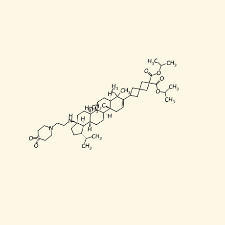 CC(C)OC(=O)C1(C(=O)OC(C)C)CC2(CC(C3=CC[C@]4(C)[C@H]5CC[C@@H]6[C@H]7[C@H](C(C)C)CC[C@]7(NCCN7CCS(=O)(=O)CC7)CC[C@@]6(C)[C@]5(C)CC[C@H]4C3(C)C)C2)C1